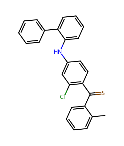 Cc1ccccc1C(=S)c1ccc(Nc2ccccc2-c2ccccc2)cc1Cl